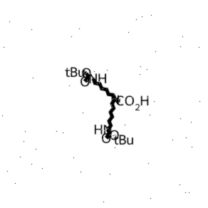 CC(C)(C)OC(=O)NCCCCCCN(CCCCCCNC(=O)OC(C)(C)C)C(=O)O